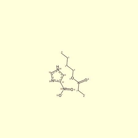 CCCCOC(=O)CC.O=[N+]([O-])c1c[nH]cn1